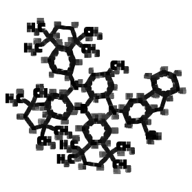 Cc1cc2c3c(c1)N(c1ccc4c(c1)C(C)(C)CCC4(C)C)c1cc4c(cc1B3c1cc3c(cc1N2c1cc2c(c(C(C)(C)C)c1)Cc1ccccc1-2)C(C)(C)CCC3(C)C)C(C)(C)CCC4(C)C